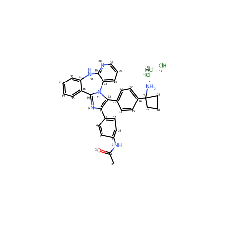 CC(=O)Nc1ccc(-c2nc3n(c2-c2ccc(C4(N)CCC4)cc2)-c2cccnc2Nc2ccccc2-3)cc1.Cl.Cl.Cl